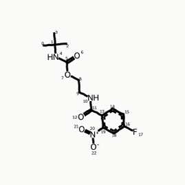 CC(C)(C)NC(=O)OCCNC(=O)c1ccc(F)cc1[N+](=O)[O-]